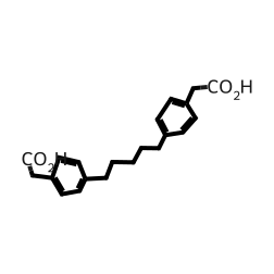 O=C(O)Cc1ccc(CCCCCc2ccc(CC(=O)O)cc2)cc1